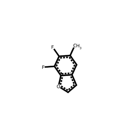 Cc1cc2ccoc2c(F)c1F